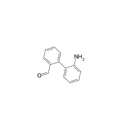 Nc1ccccc1-c1ccccc1C=O